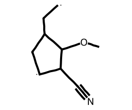 [CH2]CC1C[CH]C(C#N)C1OC